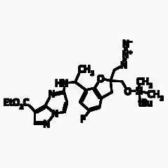 CCOC(=O)c1cnn2ccc(NC(C)c3cc(F)cc4c3OC(CN=[N+]=[N-])(CO[Si](C)(C)C(C)(C)C)C4)nc12